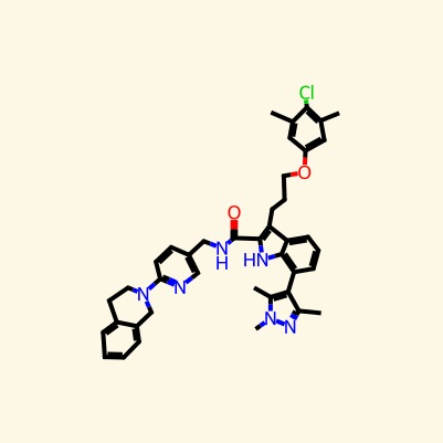 Cc1cc(OCCCc2c(C(=O)NCc3ccc(N4CCc5ccccc5C4)nc3)[nH]c3c(-c4c(C)nn(C)c4C)cccc23)cc(C)c1Cl